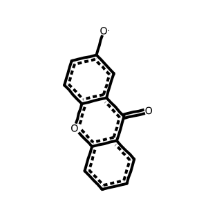 [O]c1ccc2oc3ccccc3c(=O)c2c1